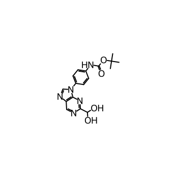 CC(C)(C)OC(=O)Nc1ccc(-n2cnc3cnc(C(O)O)nc32)cc1